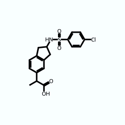 CC(C(=O)O)c1ccc2c(c1)CC(NS(=O)(=O)c1ccc(Cl)cc1)C2